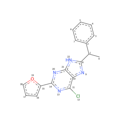 CC(c1ccccc1)c1nc2c(Cl)nc(-c3ccco3)nc2[nH]1